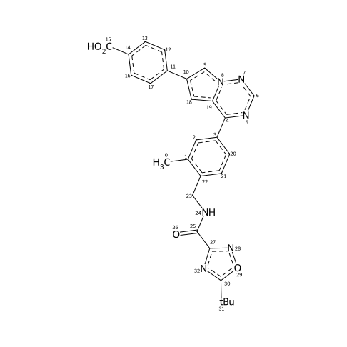 Cc1cc(-c2ncnn3cc(-c4ccc(C(=O)O)cc4)cc23)ccc1CNC(=O)c1noc(C(C)(C)C)n1